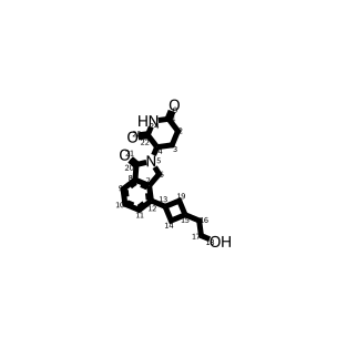 O=C1CCC(N2Cc3c(cccc3C3CC(CCO)C3)C2=O)C(=O)N1